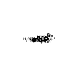 Cc1nc2cc(C3=CCC4[C@@]56CC[C@]7(C[C@H](N(C)C)[C@@H](O)[C@H](O)C7(F)CC5(F)CC[C@]34C)O6)ccc2o1